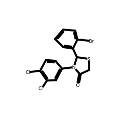 O=C1CSC(c2ccccc2Br)N1c1ccc(Cl)c(Cl)c1